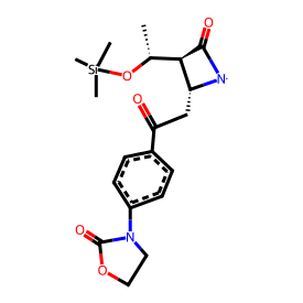 C[C@@H](O[Si](C)(C)C)[C@H]1C(=O)[N][C@@H]1CC(=O)c1ccc(N2CCOC2=O)cc1